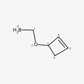 BCOC1C=CC1